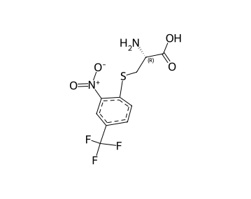 N[C@@H](CSc1ccc(C(F)(F)F)cc1[N+](=O)[O-])C(=O)O